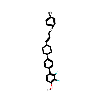 CCCc1ccc(CCC=C[C@H]2CC[C@H](c3ccc(-c4ccc(OCC)c(F)c4F)cc3)CC2)cc1